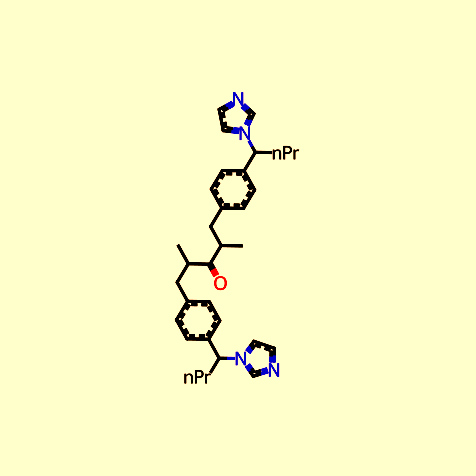 CCCC(c1ccc(CC(C)C(=O)C(C)Cc2ccc(C(CCC)n3ccnc3)cc2)cc1)n1ccnc1